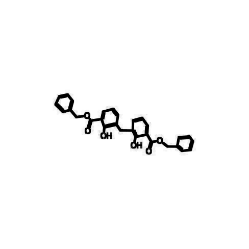 O=C(OCc1ccccc1)c1cccc(Cc2cccc(C(=O)OCc3ccccc3)c2O)c1O